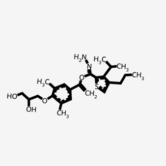 C=C(O/C(=N\N)c1scc(CCC)c1C(C)C)c1cc(C)c(OCC(O)CO)c(C)c1